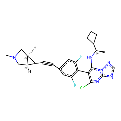 C[C@@H](Nc1c(-c2c(F)cc(C#CC3[C@H]4CN(C)C[C@@H]34)cc2F)c(Cl)nc2ncnn12)C1CCC1